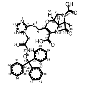 O=C(Cn1nnnc1SCC1=C(C(=O)O)N2C(=O)[C@@H]3[C@H]2[C@@H](CN3C(=O)O)O1)NOC(c1ccccc1)(c1ccccc1)c1ccccc1